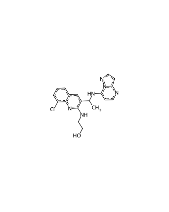 CC(Nc1ccnc2ccnn12)c1cc2cccc(Cl)c2nc1NCCO